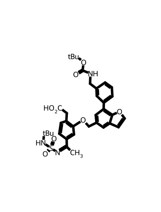 C/C(=N/S(=O)(=O)NC(C)(C)C)c1ccc(CC(=O)O)c(OCc2cc(-c3cccc(CNC(=O)OC(C)(C)C)c3)c3occc3c2)c1